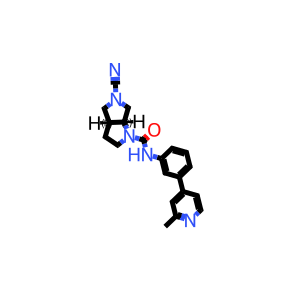 Cc1cc(-c2cccc(NC(=O)N3CC[C@@H]4CN(C#N)C[C@@H]43)c2)ccn1